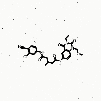 CCn1c(=O)c2cc(NC(=O)CC(C)CC(=O)Nc3ccc(C#N)c(Cl)c3)ccc2n(COC)c1=O